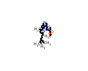 C=C1C=CC(/C=C/CCC(CCC)CC(C)C)=CN=C1C1=CCC2=CN=CC=C(N3CC/C=C(\C(=O)OCC)CCC3)C2=C1